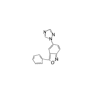 c1ccc(-c2onc3ccc(-n4cncn4)cc23)cc1